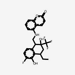 CCC1CC(O)(C(F)(F)F)C(CNc2cccc3oc(=O)ccc23)c2ccc(F)c(O)c21